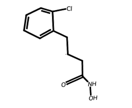 O=C(C[CH]Cc1ccccc1Cl)NO